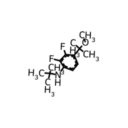 COC(C)(C)c1ccc(NC(C)(C)C)c(F)c1F